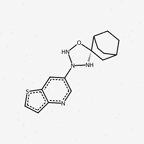 c1cc2ncc(N3NO[C@@]4(CC5CCC4CC5)N3)cc2s1